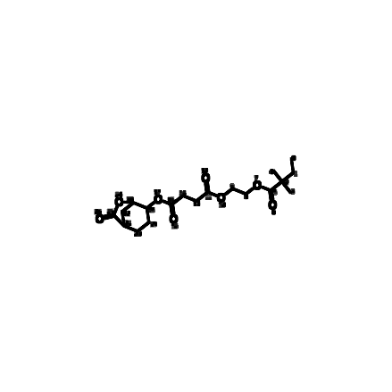 CCC(C)(C)C(=O)OCCOC(=O)CCC(=O)OC1CCC2CC1OC2=O